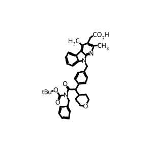 Cc1nc2c(c(C)c1CC(=O)O)c1ccccc1n2Cc1ccc(C(C(=O)N(Cc2ccccc2)C(=O)OC(C)(C)C)C2CCOCC2)cc1